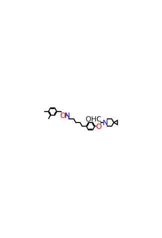 Cc1ccc(CON=CCCCCc2ccc(OC(C=O)N3CCC4(CC3)CC4)cc2)cc1C